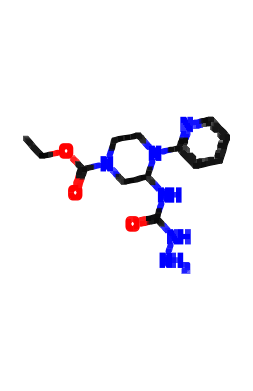 CCOC(=O)N1CCN(c2ccccn2)C(NC(=O)NN)C1